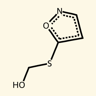 OCSc1ccno1